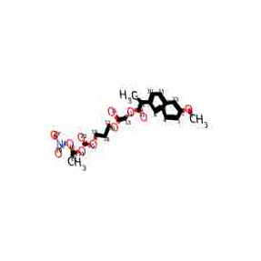 COc1ccc2cc(C(C)C(=O)OCC(=O)OCCCOC(=O)OC(C)O[N+](=O)[O-])ccc2c1